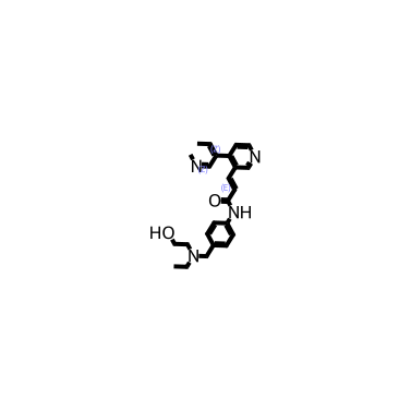 C/C=C(\C=N/C)c1ccncc1/C=C/C(=O)Nc1ccc(CN(CC)CCO)cc1